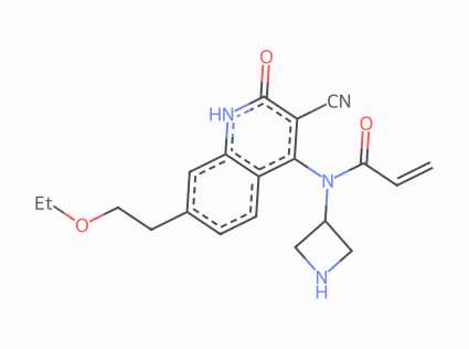 C=CC(=O)N(c1c(C#N)c(=O)[nH]c2cc(CCOCC)ccc12)C1CNC1